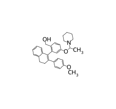 COc1ccc(C2=C(c3cc(OC(C)N4CCCCC4)ccc3CO)c3ccccc3CC2)cc1